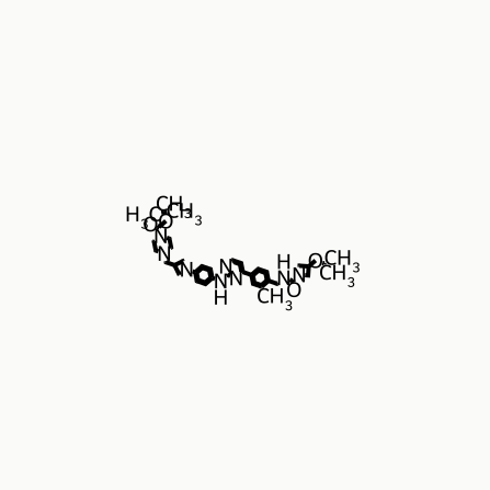 Cc1cc(-c2ccnc(Nc3ccc(N4CC(CN5CCN(C(=O)OC(C)(C)C)CC5)C4)cc3)n2)ccc1CNC(=O)N1CC(OC(C)C)C1